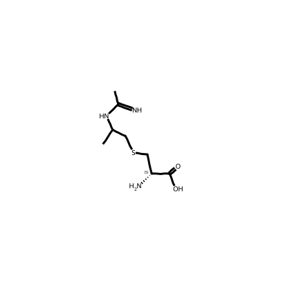 CC(=N)NC(C)CSC[C@@H](N)C(=O)O